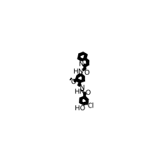 COc1cc(NC(=O)c2ccc3ccccc3n2)ccc1/C=N/NC(=O)c1ccc(O)c(Cl)c1